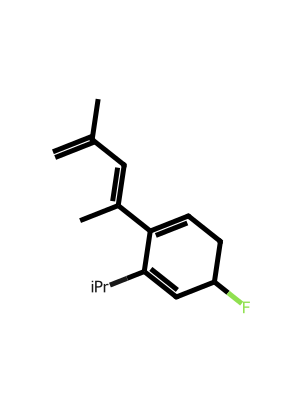 C=C(C)/C=C(\C)C1=CCC(F)C=C1C(C)C